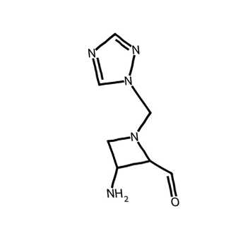 NC1CN(Cn2cncn2)C1C=O